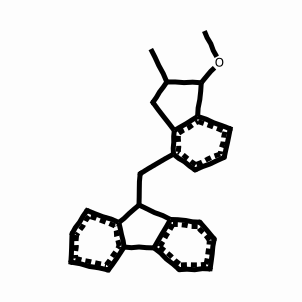 COC1c2cccc(CC3c4ccccc4-c4ccccc43)c2CC1C